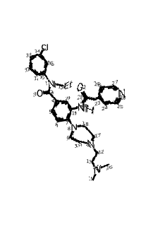 CCN(C(=O)c1ccc(N2CCN(CCN(C)C)CC2)c(NC(=O)c2ccncc2)c1)c1cccc(Cl)c1